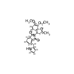 CCOc1cc(C(CC(C)=O)N2C(=O)c3cccc(Cc4ccc[nH]4)c3C2=O)ccc1OC